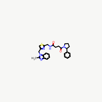 Cc1nc2ccccc2n1Cc1csc(CNC(=O)CCC(=O)N2CCCC2c2ccccc2)n1